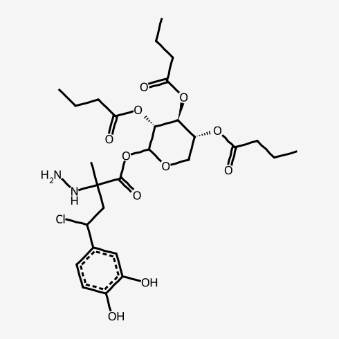 CCCC(=O)O[C@H]1[C@H](OC(=O)CCC)COC(OC(=O)C(C)(CC(Cl)c2ccc(O)c(O)c2)NN)[C@@H]1OC(=O)CCC